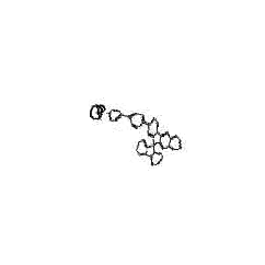 CP(C)(=O)c1ccc(-c2ccc(-c3ccc4c(c3)C3(c5ccccc5-c5ccccc53)c3cc5ccccc5cc3-4)cc2)cc1